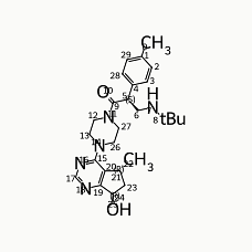 Cc1ccc([C@@H](CNC(C)(C)C)C(=O)N2CCN(c3ncnc4c3[C@H](C)C[C@H]4O)CC2)cc1